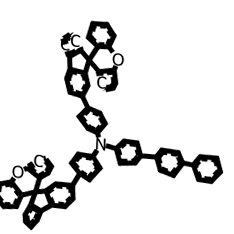 c1ccc(-c2ccc(-c3ccc(N(c4ccc(-c5ccc6c(c5)C5(c7ccccc7Oc7ccccc75)c5ccccc5-6)cc4)c4ccc(-c5ccc6c(c5)C5(c7ccccc7Oc7ccccc75)c5ccccc5-6)cc4)cc3)cc2)cc1